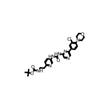 CC(C)(C)OC(=O)NCCc1ccc(NC(=O)Nc2cncc(-c3ccc(N4CCOCC4)c(Cl)c3)n2)cn1